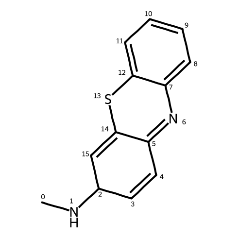 CNC1C=CC2=Nc3ccccc3SC2=C1